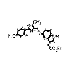 CCOC(=O)Cc1c[nH]c2ccc(OCc3nc(-c4ccc(C(F)(F)F)cc4)oc3C)cc12